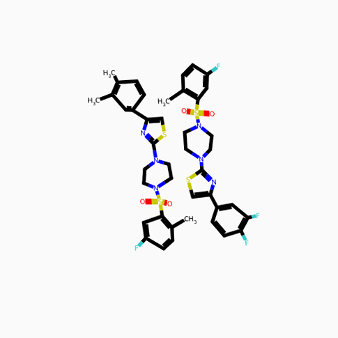 Cc1ccc(-c2csc(N3CCN(S(=O)(=O)c4cc(F)ccc4C)CC3)n2)cc1C.Cc1ccc(F)cc1S(=O)(=O)N1CCN(c2nc(-c3ccc(F)c(F)c3)cs2)CC1